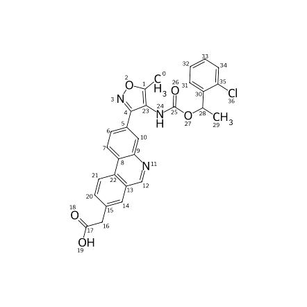 Cc1onc(-c2ccc3c(c2)ncc2cc(CC(=O)O)ccc23)c1NC(=O)OC(C)c1ccccc1Cl